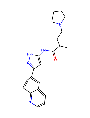 CC(CCN1CCCC1)C(=O)Nc1cc(-c2ccc3ncccc3c2)n[nH]1